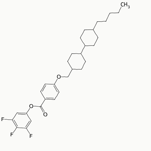 CCCCCC1CCC(C2CCC(COc3ccc(C(=O)Oc4cc(F)c(F)c(F)c4)cc3)CC2)CC1